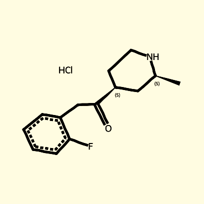 C[C@H]1C[C@@H](C(=O)Cc2ccccc2F)CCN1.Cl